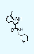 O=C(NCC1CCCCC1)c1c[nH]c2c(F)cccc12